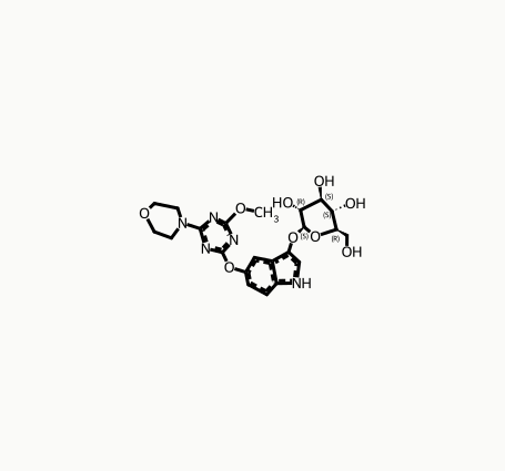 COc1nc(Oc2ccc3[nH]cc(O[C@@H]4O[C@H](CO)[C@@H](O)[C@H](O)[C@H]4O)c3c2)nc(N2CCOCC2)n1